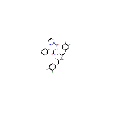 O=C1/C(=C/c2ccc(Cl)c(Cl)c2)CN(C(=O)[C@H](Cc2ccccc2)NC(=O)c2cnccn2)C/C1=C\c1ccc(Cl)c(Cl)c1